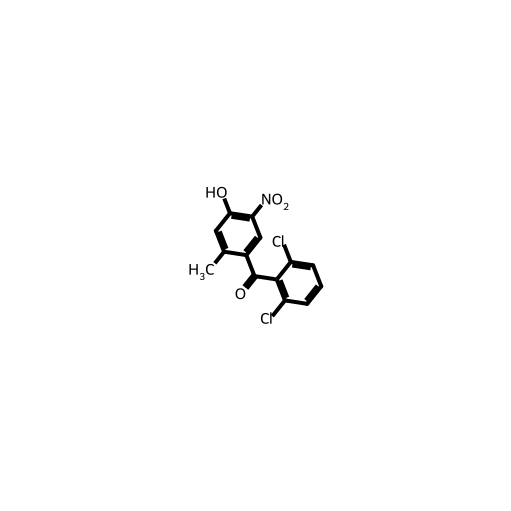 Cc1cc(O)c([N+](=O)[O-])cc1C(=O)c1c(Cl)cccc1Cl